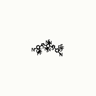 N#Cc1ccc(-c2ccc(-c3c4c(c(-c5ccc(-c6ccc(C#N)c(OC(F)(F)F)c6)s5)c5nsnc35)N=S=N4)s2)cc1OC(F)(F)F